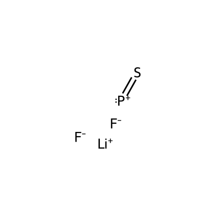 [F-].[F-].[Li+].[P+]=S